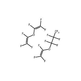 FC(F)=C(F)OC(F)(F)C(F)(F)C(F)(F)F.FC(F)=C(F)OC(F)=C(F)F